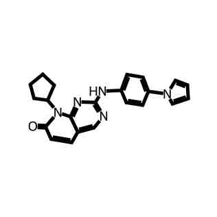 O=c1ccc2cnc(Nc3ccc(-n4cccc4)cc3)nc2n1C1CCCC1